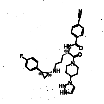 N#Cc1ccc(C(=O)N[C@@H](CCCN[C@@H]2C[C@H]2c2ccc(F)cc2)C(=O)N2CCC(N3C=CNN3)CC2)cc1